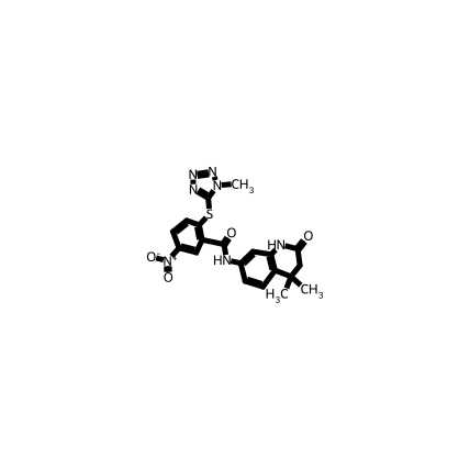 Cn1nnnc1Sc1ccc([N+](=O)[O-])cc1C(=O)Nc1ccc2c(c1)NC(=O)CC2(C)C